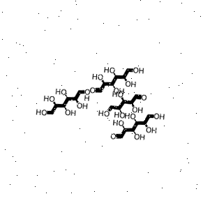 O=C[C@@H](O)[C@@H](O)[C@H](O)[C@H](O)CO.O=C[C@@H](O)[C@H](O)[C@H](O)CO.O=C[C@H](O)[C@@H](O)[C@H](O)[C@H](O)CO.OC[C@@H](O)[C@@H](O)[C@H](O)[C@H](O)CO